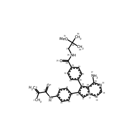 C=C(C)C(=O)Nc1ccc(-c2cn3ncnc(N)c3c2-c2ccc(C(=O)NCC(C)(C)OC)cc2)cc1